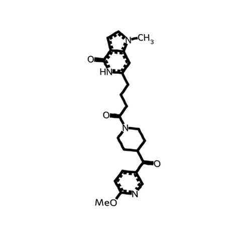 COc1ccc(C(=O)C2CCN(C(=O)CCCc3cc4c(ccn4C)c(=O)[nH]3)CC2)cn1